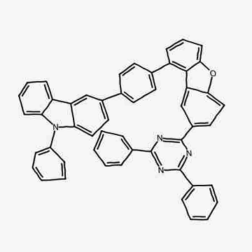 c1ccc(-c2nc(-c3ccccc3)nc(-c3ccc4oc5cccc(-c6ccc(-c7ccc8c(c7)c7ccccc7n8-c7ccccc7)cc6)c5c4c3)n2)cc1